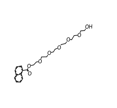 O=C(OCCOCCOCCOCCOCCOCCO)c1cccc2ccccc12